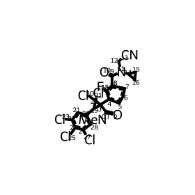 CNC(=O)C1(c2cccc(C(=O)N(CC#N)C3CC3)c2F)C(c2cc(Cl)c(Cl)c(Cl)c2)C1(Cl)Cl